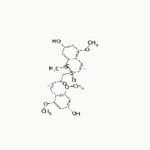 COc1cc(O)cc(OC)c1/C=C\C(=O)CS(=O)(=O)/C=C\c1c(OC)cc(O)cc1OC